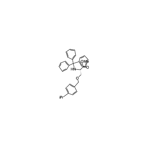 COC(=O)[C@H](COCc1ccc(C(C)C)cc1)NC(c1ccccc1)(c1ccccc1)c1ccccc1